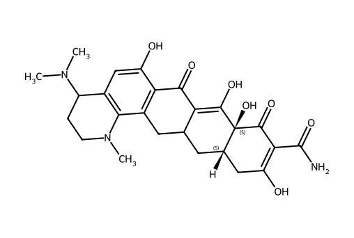 CN1CCC(N(C)C)c2cc(O)c3c(c21)CC1C[C@H]2CC(O)=C(C(N)=O)C(=O)[C@@]2(O)C(O)=C1C3=O